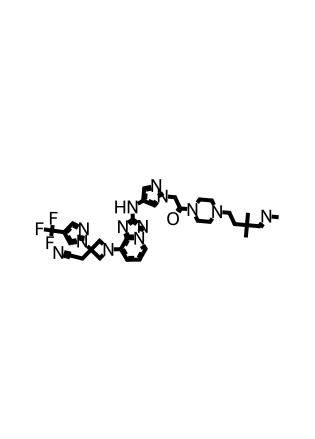 C/N=C/C(C)(C)CCN1CCN(C(=O)Cn2cc(Nc3nc4c(N5CC(CC#N)(n6cc(C(F)(F)F)cn6)C5)cccn4n3)cn2)CC1